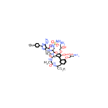 Cc1nc(-c2ccc(C(C)(C)C)cc2)nc(N)c1C(=O)N[C@@H](CNS(N)(=O)=O)C(=O)N(C)[C@@H]1C(=O)N[C@@H](C)C(=O)N[C@H](C(=O)O)Cc2ccc(OC[C@H](O)CN)c(c2)-c2cc1cc(OC[C@@H](O)CN)c2O